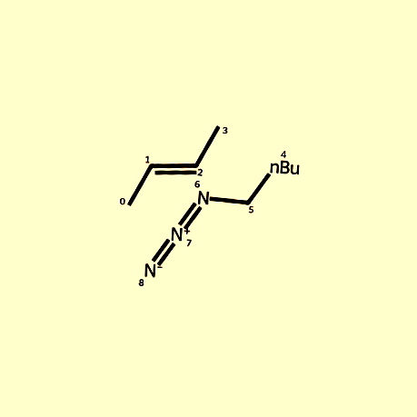 CC=CC.CCCCCN=[N+]=[N-]